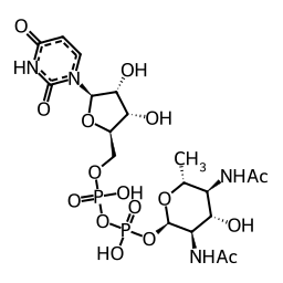 CC(=O)N[C@H]1[C@@H](OP(=O)(O)OP(=O)(O)OC[C@H]2O[C@@H](n3ccc(=O)[nH]c3=O)[C@H](O)[C@@H]2O)O[C@H](C)[C@@H](NC(C)=O)[C@@H]1O